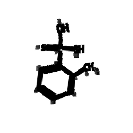 Cc1ccccc1P(O)(=S)S